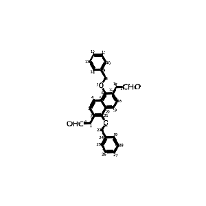 O=CCc1ccc2c(OCc3ccccc3)c(CC=O)ccc2c1OCc1ccccc1